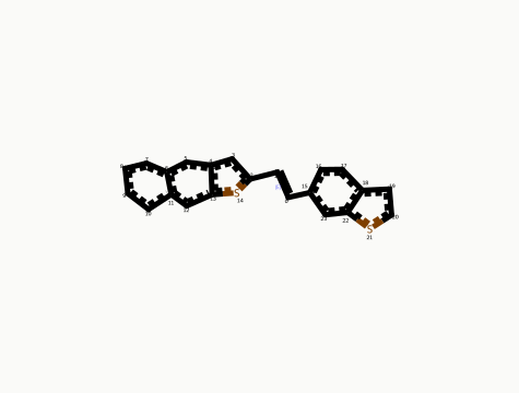 C(=C\c1cc2cc3ccccc3cc2s1)/c1ccc2ccsc2c1